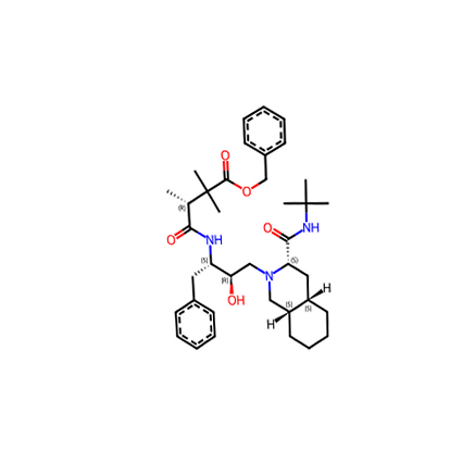 C[C@@H](C(=O)N[C@@H](Cc1ccccc1)[C@H](O)CN1C[C@H]2CCCC[C@H]2C[C@H]1C(=O)NC(C)(C)C)C(C)(C)C(=O)OCc1ccccc1